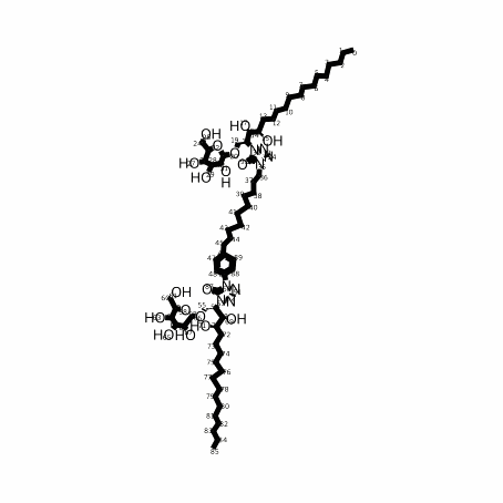 CCCCCCCCCCCCCC[C@@H](O)[C@@H](O)[C@H](COC1OC(CO)C(O)C(O)C1O)n1nnn(CCCCCCCCCCc2ccc(-n3nnn([C@@H](COC4OC(CO)C(O)C(O)C4O)[C@H](O)[C@H](O)CCCCCCCCCCCCCC)c3=O)cc2)c1=O